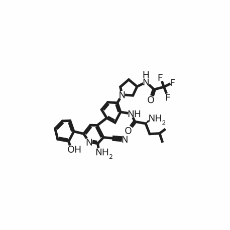 CC(C)C[C@H](N)C(=O)Nc1cc(-c2cc(-c3ccccc3O)nc(N)c2C#N)ccc1N1CCC(NC(=O)C(F)(F)F)C1